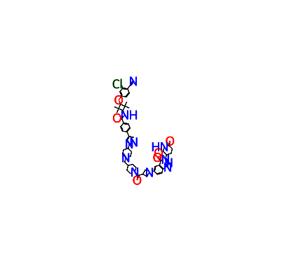 CC1(C)C(NC(=O)c2ccc(-c3cnn(C4CCN(CC5CCN(C(=O)C6CN(c7ccc8nnn(C9CCC(=O)NC9=O)c(=O)c8c7)C6)CC5)CC4)c3)cc2)C(C)(C)C1Oc1ccc(C#N)c(Cl)c1